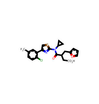 O=C(O)CC(Cc1ccco1)C(=O)N(c1nc(-c2cc(C(F)(F)F)ccc2Cl)cs1)C1CC1